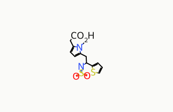 Cn1c(CC(=O)O)ccc1CC(N=S(=O)=O)c1cccs1